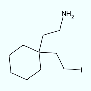 NCCC1(CCI)CCCCC1